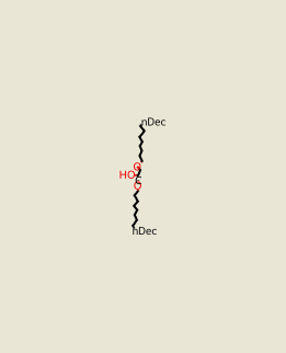 CCCCCCCCCCCCCCCCCCOCC(O)COCCCCCCCCCCCCCCCCCC